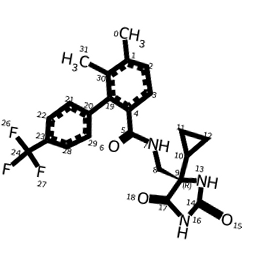 Cc1ccc(C(=O)NC[C@@]2(C3CC3)NC(=O)NC2=O)c(-c2ccc(C(F)(F)F)cc2)c1C